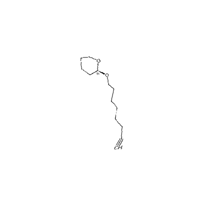 C#CCCCCCCO[C@H]1CCCCO1